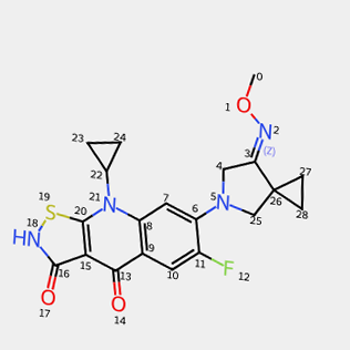 CO/N=C1\CN(c2cc3c(cc2F)c(=O)c2c(=O)[nH]sc2n3C2CC2)CC12CC2